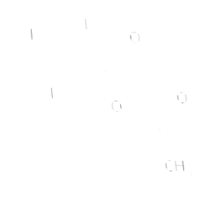 CC(=O)OC(=O)C(I)(I)I